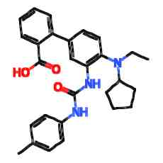 CCN(c1ccc(-c2ccccc2C(=O)O)cc1NC(=O)Nc1ccc(C)cc1)C1CCCC1